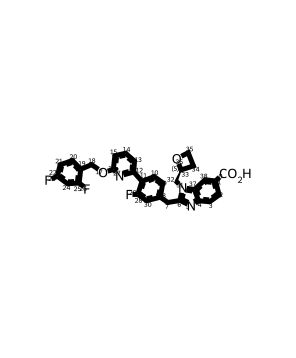 O=C(O)c1ccc2nc(Cc3ccc(-c4cccc(OCc5ccc(F)cc5F)n4)c(F)c3)n(C[C@@H]3CCO3)c2c1